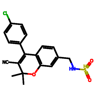 CC1(C)Oc2cc(CN[SH](=O)=O)ccc2C(c2ccc(Cl)cc2)=C1C#N